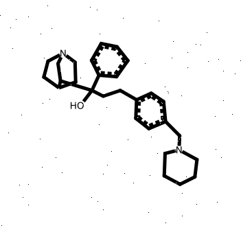 OC(CCc1ccc(CN2CCCCC2)cc1)(c1ccccc1)C1CN2CCC1CC2